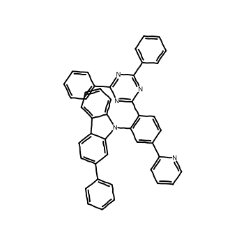 c1ccc(-c2ccc3c4ccccc4n(-c4cc(-c5ccccn5)ccc4-c4nc(-c5ccccc5)nc(-c5ccccc5)n4)c3c2)cc1